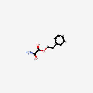 NC(=O)C(=O)OCCc1ccccc1